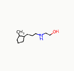 CC1CCCC1CCCNCCO